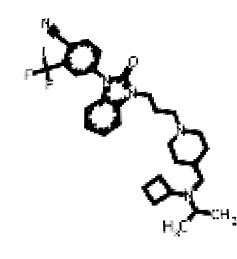 CC(C)N(CC1CCN(CCCn2c(=O)n(-c3ccc(C#N)c(C(F)(F)I)c3)c3ccccc32)CC1)C1CCC1